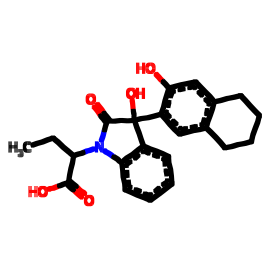 CCC(C(=O)O)N1C(=O)C(O)(c2cc3c(cc2O)CCCC3)c2ccccc21